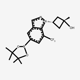 CC1(C)OB(c2cc(C(F)(F)F)c3c(cnn3[C@H]3C[C@@](C)(O)C3)c2)OC1(C)C